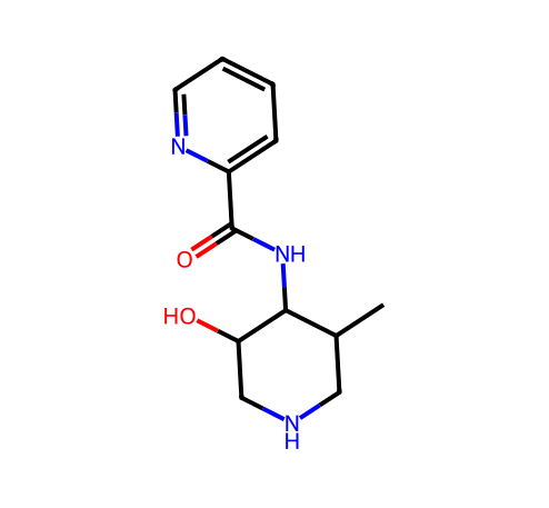 CC1CNCC(O)C1NC(=O)c1ccccn1